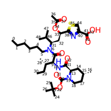 CCCCCCN(C(=O)[C@@H](NC(=O)[C@H]1C[C@H](C)CCN1C(=O)OC(C)(C)C)[C@@H](C)CC)[C@H](C[C@@H](OC(C)=O)c1nc(C(=O)O)cs1)C(C)C